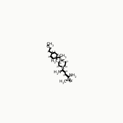 COCCC1=CCC(C)(C(C)N2CCCN(/C(N)=C/C=C(\N)[S+](C)[O-])CC2)C=C1